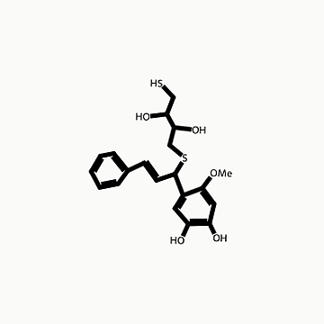 COc1cc(O)c(O)cc1C(/C=C/c1ccccc1)SCC(O)C(O)CS